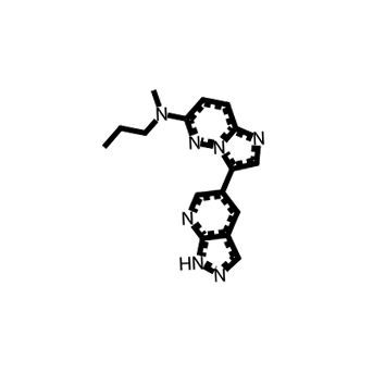 CCCN(C)c1ccc2ncc(-c3cnc4[nH]ncc4c3)n2n1